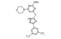 CSc1nc(Sc2nc(-c3cc(C(F)(F)F)cc(C(F)(F)F)c3)n[nH]2)cc(N2CCOCC2)n1